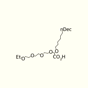 CCCCCCCCCCCCCCCCOC(OCCOCCOCCOCC)C(=O)O